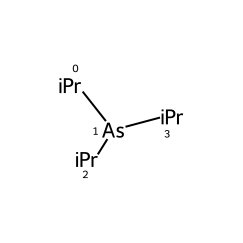 CC(C)[As](C(C)C)C(C)C